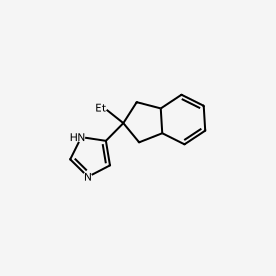 CCC1(c2cnc[nH]2)CC2C=CC=CC2C1